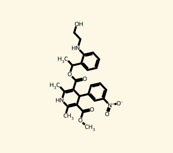 COC(=O)C1=C(C)NC(C)=C(C(=O)OC(C)c2ccccc2NCCO)C1c1cccc([N+](=O)[O-])c1